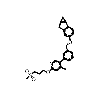 Cc1cc(OCCCS(C)(=O)=O)ncc1-c1cccc(COc2ccc3c(c2)CC2CC32)c1